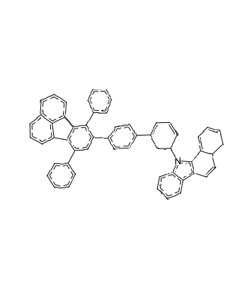 C1=CCC2C=Cc3c(n(C4C=CC=C(c5ccc(-c6cc(-c7ccccc7)c7c(c6-c6ccccc6)-c6cccc8cccc-7c68)cc5)C4)c4ccccc34)C2=C1